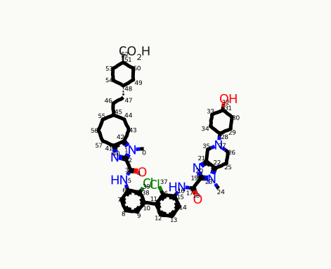 Cn1c(C(=O)Nc2cccc(-c3cccc(NC(=O)c4nc5c(n4C)CCN(C4CCC(O)CC4)C5)c3Cl)c2Cl)nc2c1CCC(CC[C@H]1CC[C@H](C(=O)O)CC1)CCC2